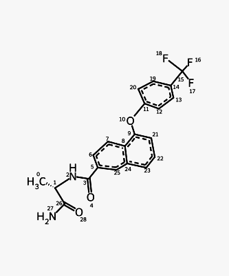 C[C@H](NC(=O)c1ccc2c(Oc3ccc(C(F)(F)F)cc3)cccc2c1)C(N)=O